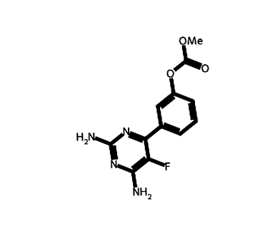 COC(=O)Oc1cccc(-c2nc(N)nc(N)c2F)c1